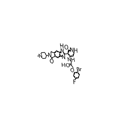 CN1CCC(N2Cc3cc4[nH]c(-c5c(NC[C@@H](O)COc6cc(F)ccc6Br)cc[nH]c5=O)nc4cc3C2=O)CC1